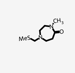 CSCN1CCC(=O)N(C)CC1